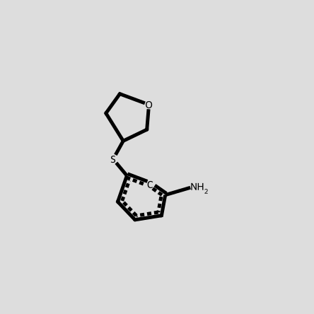 Nc1cccc(SC2CCOC2)c1